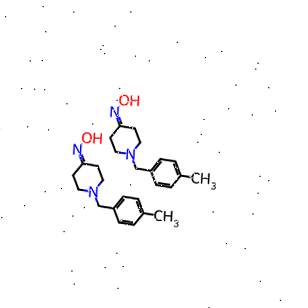 Cc1ccc(CN2CCC(=NO)CC2)cc1.Cc1ccc(CN2CCC(=NO)CC2)cc1